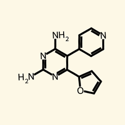 Nc1nc(N)c(-c2ccncc2)c(-c2ccco2)n1